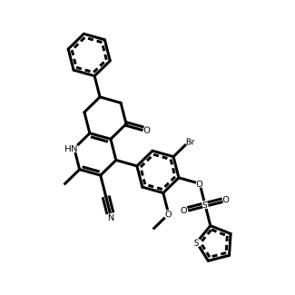 COc1cc(C2C(C#N)=C(C)NC3=C2C(=O)CC(c2ccccc2)C3)cc(Br)c1OS(=O)(=O)c1cccs1